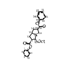 CCCCCCCCC1C(C(=O)Oc2ccccc2)CC2CC(C(=O)Oc3ccccc3)CN21